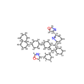 c1cc(-c2cocn2)cc(-c2c3ccccc3c(-c3cccc(-c4cocn4)n3)c3ccc(-c4ccc(-c5cccc6ccccc56)cc4)cc23)c1